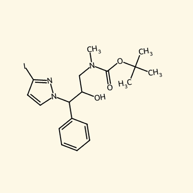 CN(CC(O)C(c1ccccc1)n1ccc(I)n1)C(=O)OC(C)(C)C